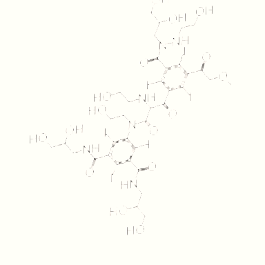 COCC(=O)c1c(I)c(C(=O)C(NCCO)C(=O)N(CCO)c2c(I)c(C(=O)NCC(O)CO)c(I)c(C(=O)NCC(O)CO)c2I)c(I)c(C(=O)N(CC(O)CO)NCCO)c1I